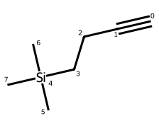 C#CCC[Si](C)(C)C